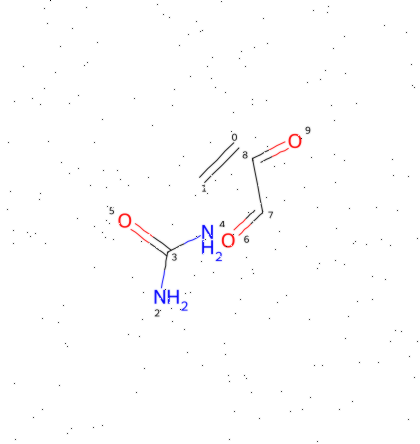 C=C.NC(N)=O.O=CC=O